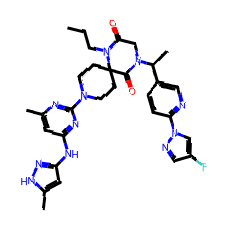 CCCN1C(=O)CN(C(C)c2ccc(-n3cc(F)cn3)nc2)C(=O)C12CCN(c1nc(C)cc(Nc3cc(C)[nH]n3)n1)CC2